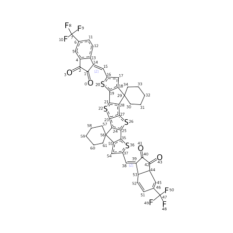 O=C1C(=O)c2cc(C(F)(F)F)ccc2/C1=C/c1cc2c(s1)-c1sc3c4c(sc3c1C21CCCCC1)-c1sc(/C=C2\C(=O)C(=O)C3C=C(C(F)(F)F)C=CC23)cc1C41CCCCC1